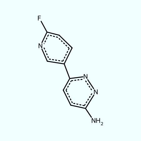 Nc1ccc(-c2ccc(F)nc2)nn1